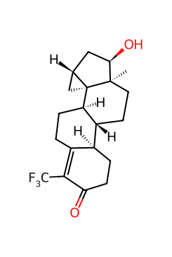 C[C@]12CC[C@H]3[C@@H](CCC4=C(C(F)(F)F)C(=O)CC[C@@H]43)[C@]13C[C@@H]3C[C@H]2O